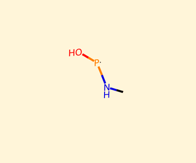 CN[P]O